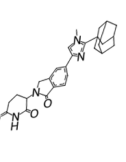 Cn1cc(-c2ccc3c(c2)CN(C2CCC(=O)NC2=O)C3=O)nc1C12CC3CC(CC(C3)C1)C2